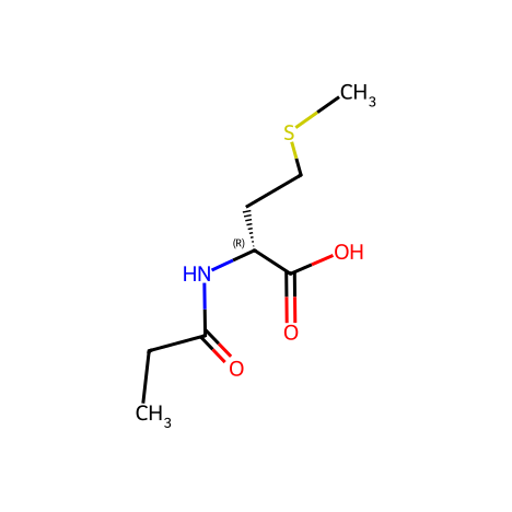 CCC(=O)N[C@H](CCSC)C(=O)O